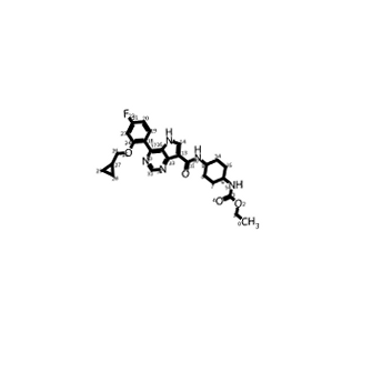 CCOC(=O)NC1CCC(NC(=O)c2c[nH]c3c(-c4ccc(F)cc4OCC4CC4)ncnc23)CC1